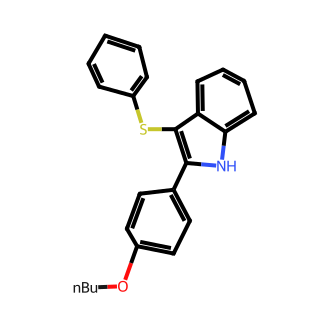 CCCCOc1ccc(-c2[nH]c3ccccc3c2Sc2ccccc2)cc1